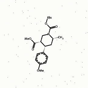 COC(=O)[C@@H]1CN(C(=O)OC(C)(C)C)[C@H](C)C[C@@H]1c1ccc(OC)cc1